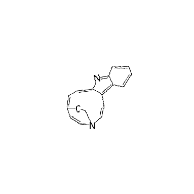 c1ccc2c3ccn4ccc(ccc-3nc2c1)CC4